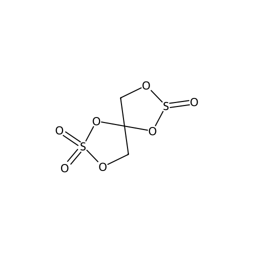 O=S1OCC2(COS(=O)(=O)O2)O1